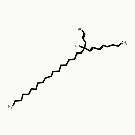 CCCCC=CC=CC(O)(C=CCCCCCCCCCCCCCCCCC)CC=CO